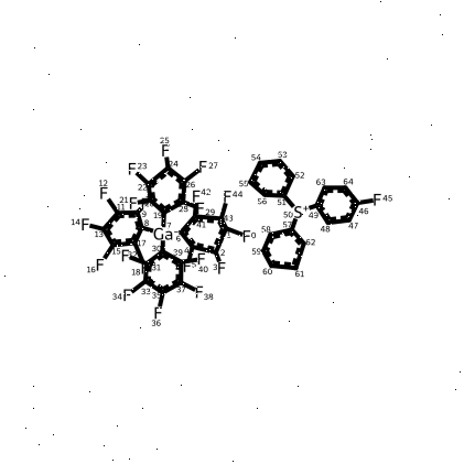 Fc1c(F)c(F)[c]([Ga-]([c]2c(F)c(F)c(F)c(F)c2F)([c]2c(F)c(F)c(F)c(F)c2F)[c]2c(F)c(F)c(F)c(F)c2F)c(F)c1F.Fc1ccc([S+](c2ccccc2)c2ccccc2)cc1